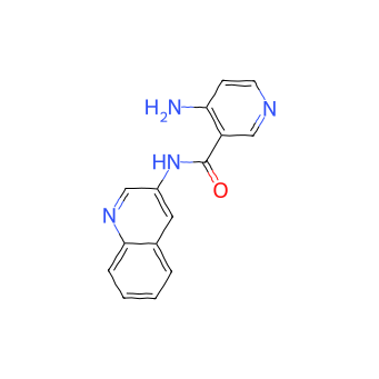 Nc1ccncc1C(=O)Nc1cnc2ccccc2c1